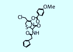 COc1ccc(C(=O)OC2=C(CCl)CSC3C(NC(=O)Cc4ccccc4)C(=O)N23)cc1